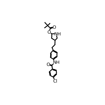 CC(C)(C)C(=O)OC1CC(CCc2ccc(NC(=O)c3ccc(Cl)cc3)cc2)CN1